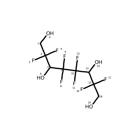 OCC(F)(F)C(O)C(F)(F)C(F)(F)C(O)C(F)(F)CO